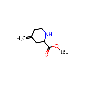 C=C1CCNC(C(=O)OC(C)(C)C)C1